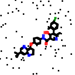 C=C(C)c1cnc2c(Oc3ccc(NC(=O)c4cnc(C)c(-c5ccc(F)cc5C)c4O)cc3)ccnc2c1